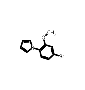 COc1cc(Br)ccc1-n1cccc1